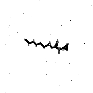 CCCCCCOCC(=O)NC1CC1